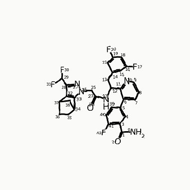 NC(=O)c1cc(-c2cccnc2C(Cc2cc(F)cc(F)c2)NC(=O)Cn2nc(C(F)F)c3c2C2CCC3C2)ccc1F